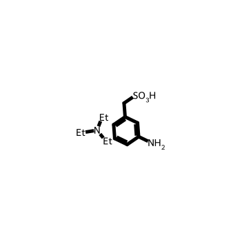 CCN(CC)CC.Nc1cccc(CS(=O)(=O)O)c1